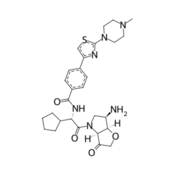 CN1CCN(c2nc(-c3ccc(C(=O)N[C@H](C(=O)N4C[C@@H](N)[C@H]5OCC(=O)[C@H]54)C4CCCC4)cc3)cs2)CC1